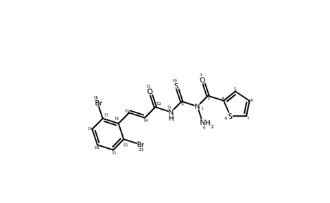 NN(C(=O)c1cccs1)C(=S)NC(=O)C=Cc1c(Br)cccc1Br